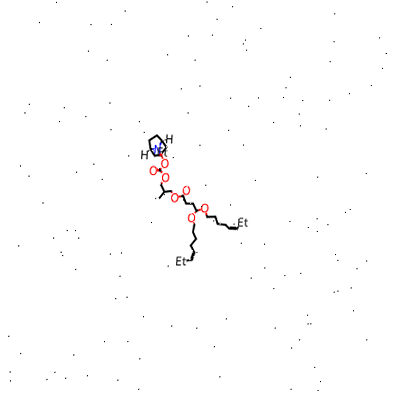 [CH2]C(COC(=O)CCC(OCCCC/C=C\CC)OCCCC/C=C\CC)COC(=O)O[C@H]1C[C@H]2CC[C@@H](C1)N2CC